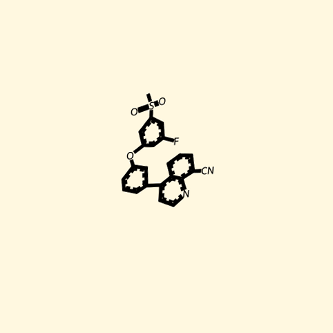 CS(=O)(=O)c1cc(F)cc(Oc2cccc(-c3ccnc4c(C#N)cccc34)c2)c1